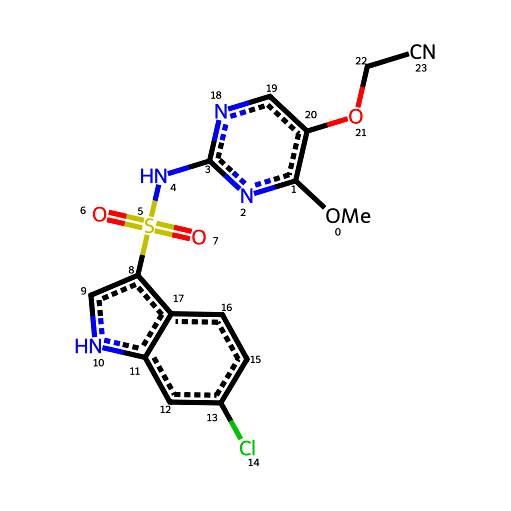 COc1nc(NS(=O)(=O)c2c[nH]c3cc(Cl)ccc23)ncc1OCC#N